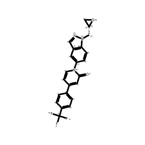 O=c1cc(-c2ccc(C(F)(F)F)cc2)ccn1-c1ccc2c(cnn2C[C@@H]2CO2)c1